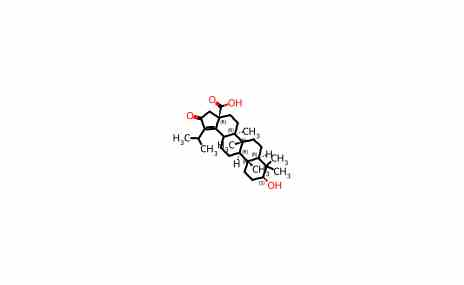 CC(C)C1=C2C3CC[C@@H]4[C@@]5(C)CC[C@H](O)C(C)(C)[C@@H]5CC[C@@]4(C)[C@]3(C)CC[C@@]2(C(=O)O)CC1=O